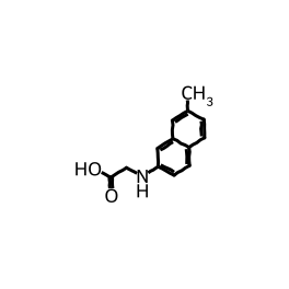 Cc1ccc2ccc(NCC(=O)O)cc2c1